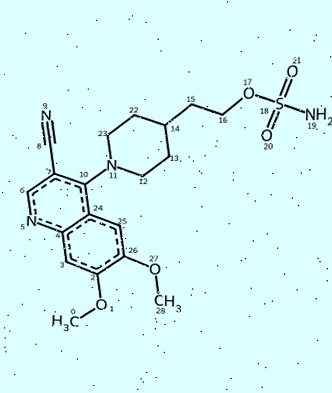 COc1cc2ncc(C#N)c(N3CCC(CCOS(N)(=O)=O)CC3)c2cc1OC